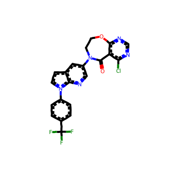 O=C1c2c(Cl)ncnc2OCCN1c1cnc2c(ccn2-c2ccc(C(F)(F)F)cc2)c1